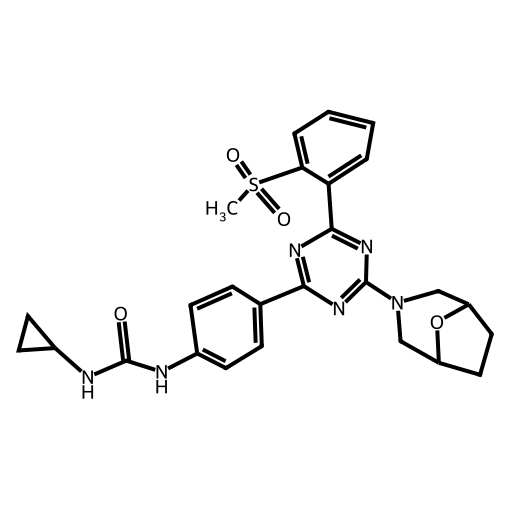 CS(=O)(=O)c1ccccc1-c1nc(-c2ccc(NC(=O)NC3CC3)cc2)nc(N2CC3CCC(C2)O3)n1